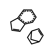 C1=CC2CCC1C2.C1=Cc2ccccc2C1